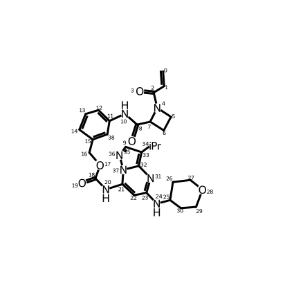 C=CC(=O)N1CCC1C(=O)Nc1cccc(COC(=O)Nc2cc(NC3CCOCC3)nc3c(C(C)C)cnn23)c1